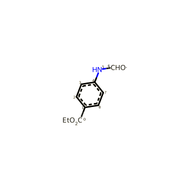 CCOC(=O)c1ccc(N[C]=O)cc1